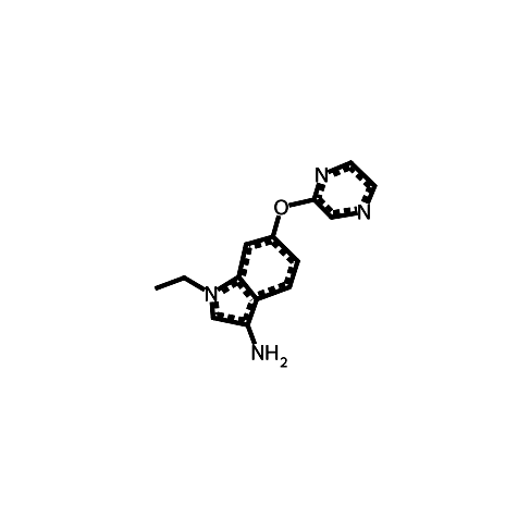 CCn1cc(N)c2ccc(Oc3cnccn3)cc21